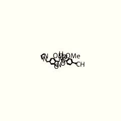 C#Cc1ccc(S(=O)(=O)Nc2noc3cc(Cn4cccn4)cc(OC)c23)c(OC)c1